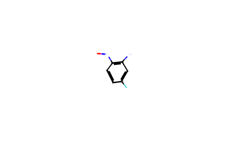 Nc1cc(F)ccc1NO